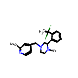 COc1cc(CN2CCN(C(C)C)C(c3ccccc3C(C)(F)F)C2)ccn1